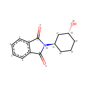 O=C1c2ccccc2C(=O)N1[C@@H]1CCC[C@@H](O)C1